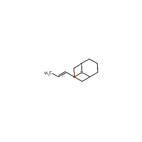 C/C=C/CB1C2CCCC1CCC2